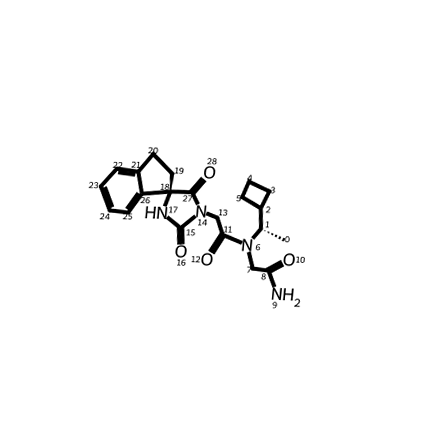 C[C@@H](C1CCC1)N(CC(N)=O)C(=O)CN1C(=O)N[C@@]2(CCc3ccccc32)C1=O